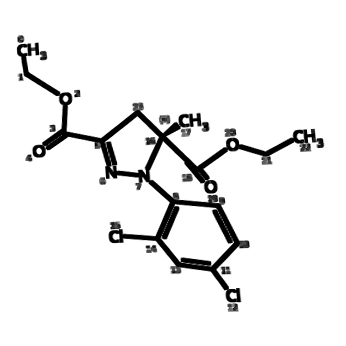 CCOC(=O)C1=NN(c2ccc(Cl)cc2Cl)[C@@](C)(C(=O)OCC)C1